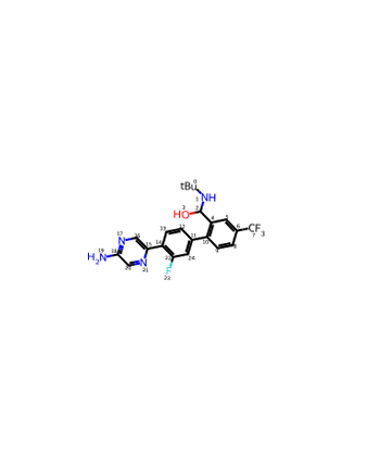 CC(C)(C)NC(O)c1cc(C(F)(F)F)ccc1-c1ccc(-c2cnc(N)cn2)c(F)c1